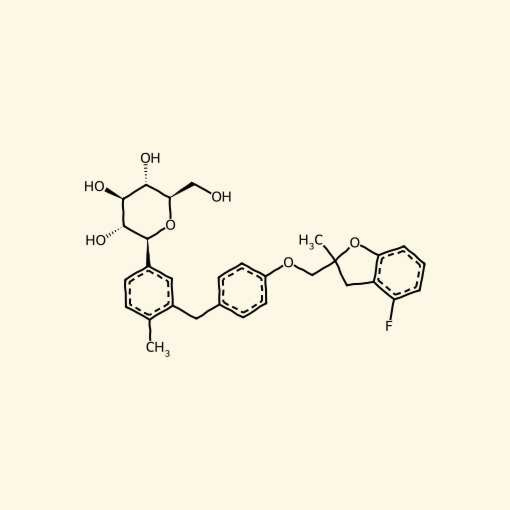 Cc1ccc([C@@H]2O[C@H](CO)[C@@H](O)[C@H](O)[C@H]2O)cc1Cc1ccc(OCC2(C)Cc3c(F)cccc3O2)cc1